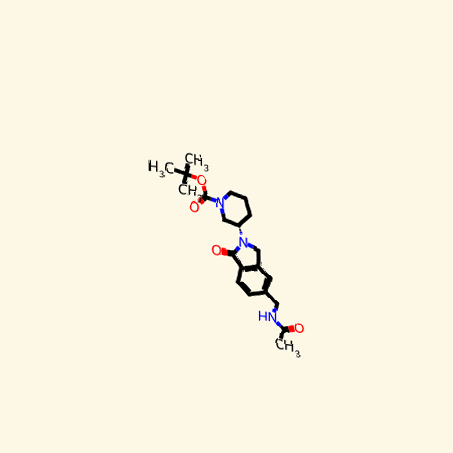 CC(=O)NCc1ccc2c(c1)CN([C@H]1CCCN(C(=O)OC(C)(C)C)C1)C2=O